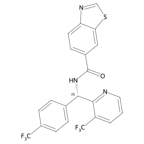 O=C(N[C@@H](c1ccc(C(F)(F)F)cc1)c1ncccc1C(F)(F)F)c1ccc2ncsc2c1